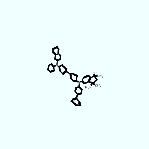 CC1(C)CC(C)(C)c2cc(N(c3ccc(-c4ccccc4)cc3)c3ccc(-c4ccc(N(c5ccccc5)c5ccc6ccccc6c5)cc4)cc3)ccc21